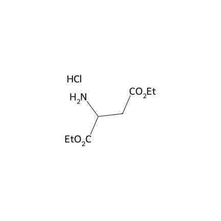 CCOC(=O)CC(N)C(=O)OCC.Cl